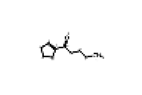 CCCCC(=O)C1=CCCC1